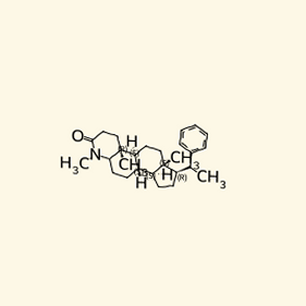 CC(c1ccccc1)[C@H]1CC[C@H]2[C@@H]3CCC4N(C)C(=O)CC[C@]4(C)[C@H]3CC[C@]12C